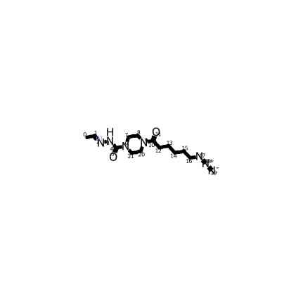 C/C=N/NC(=O)N1CCN(C(=O)CCCCCN=[N+]=[N-])CC1